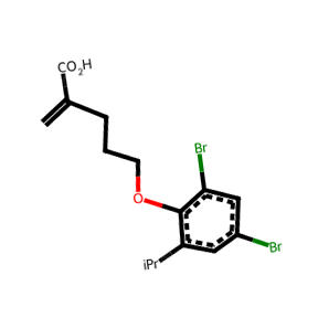 C=C(CCCOc1c(Br)cc(Br)cc1C(C)C)C(=O)O